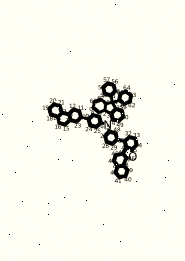 C1=CC2c3c(N(c4ccc(-c5ccc6c(ccc7ccccc76)c5)cc4)c4cccc(-c5cccc6oc7c8ccccc8ccc7c56)c4)cccc3C(c3ccccc3)(c3ccccc3)C2C=C1